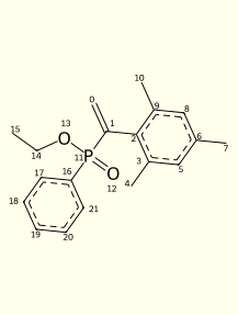 C=C(c1c(C)cc(C)cc1C)P(=O)(OCC)c1ccccc1